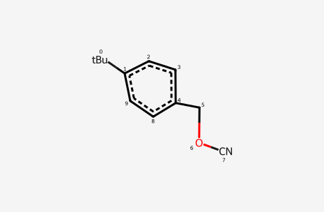 CC(C)(C)c1ccc(COC#N)cc1